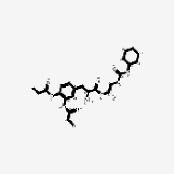 CCC(=O)Oc1ccc(C[C@H](N)C(=O)O[C@@H](C)COC(=O)OC2CCCCC2)cc1OC(=O)CC